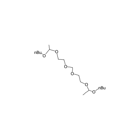 CCCCOC(C)OCCOCOCCOC(C)OCCCC